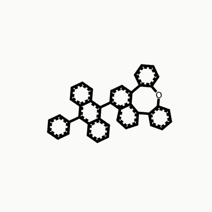 c1ccc(-c2c3ccccc3c(-c3ccc4c5c(cccc35)-c3ccccc3Oc3ccccc3-4)c3ccccc23)cc1